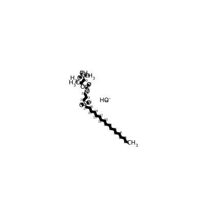 CCCCCCCCCCCCCCCCCCS(=O)(=O)CCCO[PH](=O)OC(C)C[N+](C)(C)C.[OH-]